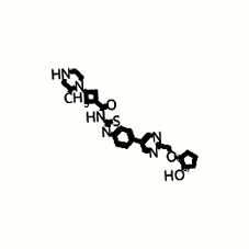 CC1CNCCN1C1CC(C(=O)Nc2nc3ccc(-c4cnc(CO[C@H]5CCC[C@@H]5O)nc4)cc3s2)C1